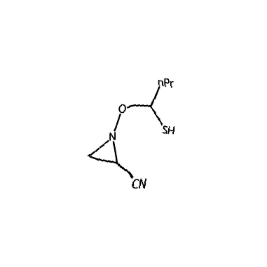 CCCC(S)ON1CC1C#N